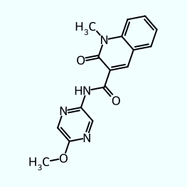 COc1cnc(NC(=O)c2cc3ccccc3n(C)c2=O)cn1